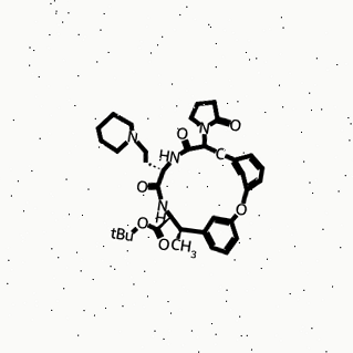 C[C@@H]1c2cccc(c2)Oc2cccc(c2)CC(N2CCCC2=O)C(=O)N[C@@H](CCN2CCCCC2)C(=O)N[C@@H]1C(=O)OC(C)(C)C